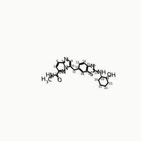 CNC(=O)c1ccc2ncc(Cc3ccc4nc(N[C@@H]5CCCC[C@H]5O)sc4c3)n2n1